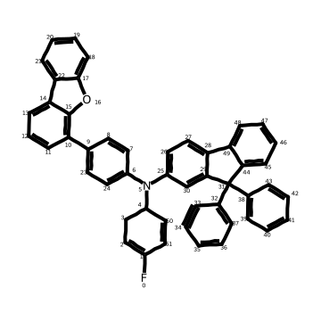 FC1=CCC(N(c2ccc(-c3cccc4c3oc3ccccc34)cc2)c2ccc3c(c2)C(c2c#cccc2)(c2ccccc2)c2ccccc2-3)C=C1